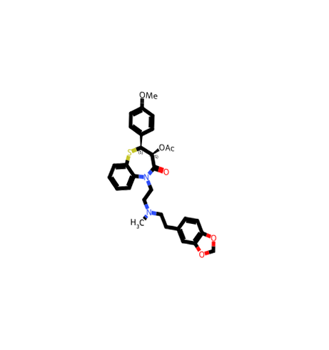 COc1ccc([C@@H]2Sc3ccccc3N(CCN(C)CCc3ccc4c(c3)OCO4)C(=O)[C@@H]2OC(C)=O)cc1